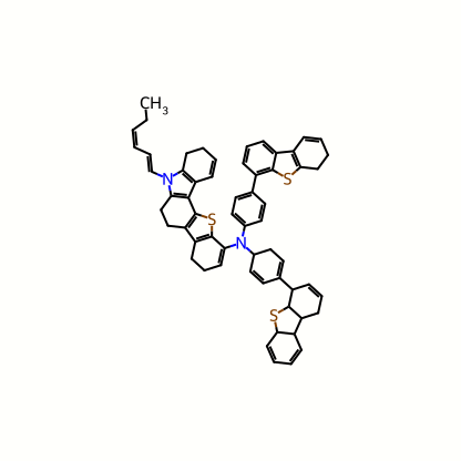 CC/C=C\C=Cn1c2c(c3c1CCc1c-3sc3c1CCC=C3N(c1ccc(-c3cccc4c5c(sc34)CCC=C5)cc1)C1C=CC(C3C=CCC4C5C=CC=CC5SC34)=CC1)C=CCC2